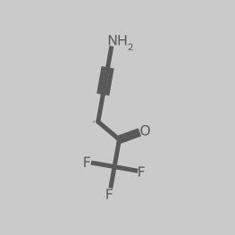 NC#C[CH]C(=O)C(F)(F)F